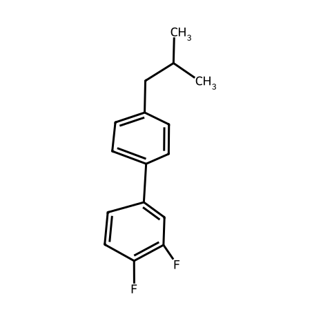 CC(C)Cc1ccc(-c2ccc(F)c(F)c2)cc1